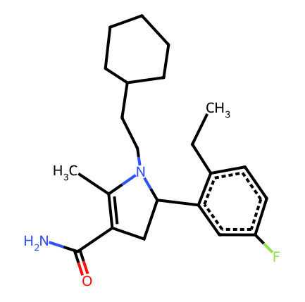 CCc1ccc(F)cc1C1CC(C(N)=O)=C(C)N1CCC1CCCCC1